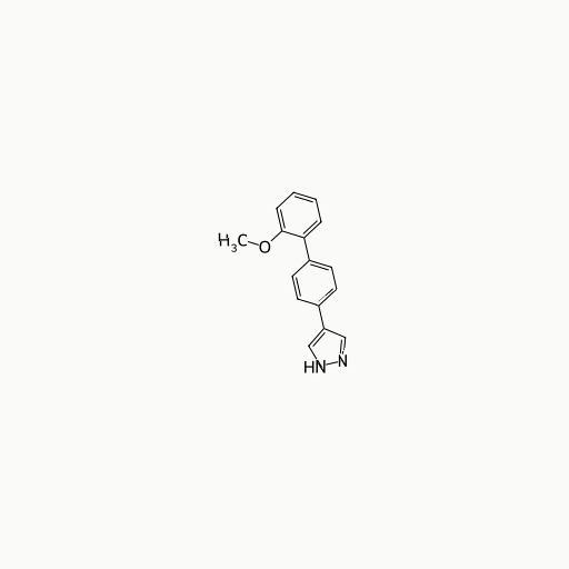 COc1ccccc1-c1ccc(-c2cn[nH]c2)cc1